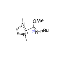 CCCC/N=C(\OC)c1n(C)cc[n+]1C